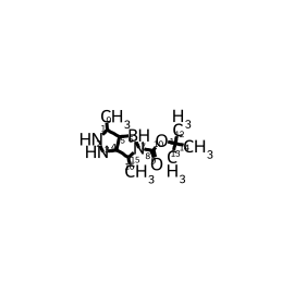 CC1NNC2C1BN(C(=O)OC(C)(C)C)C2C